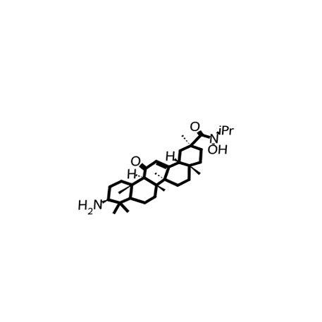 CC(C)N(O)C(=O)[C@@]1(C)CC[C@]2(C)CC[C@]3(C)C(=CC(=O)[C@@H]4[C@@]5(C)CC[C@H](N)C(C)(C)C5CC[C@]43C)[C@@H]2C1